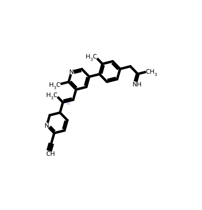 C#CC1=NCC(/C(C)=C/c2cc(-c3ccc(CC(C)=N)cc3C)cnc2C)C=C1